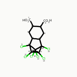 O=C(O)C1CC2C(CC1C(=O)O)C1(Cl)C(Cl)=C(Cl)C2(Cl)C1(Cl)Cl